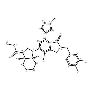 Cc1ccc(CN2Cc3c(F)c(N4CN(C(=O)OC(C)(C)C)[C@H]5CCCC[C@H]54)nc(-c4cnn(C)c4)c3C2=O)cc1C